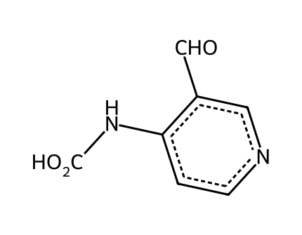 O=Cc1cnccc1NC(=O)O